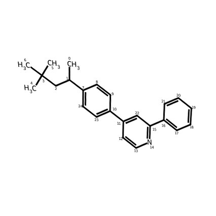 CC(CC(C)(C)C)c1ccc(-c2ccnc(-c3ccccc3)c2)cc1